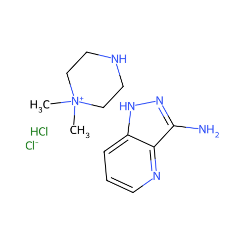 C[N+]1(C)CCNCC1.Cl.Nc1n[nH]c2cccnc12.[Cl-]